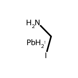 NCI.[PbH2]